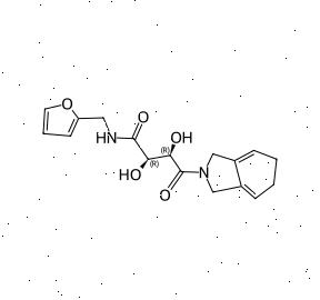 O=C(NCc1ccco1)[C@H](O)[C@@H](O)C(=O)N1CC2=CCCC=C2C1